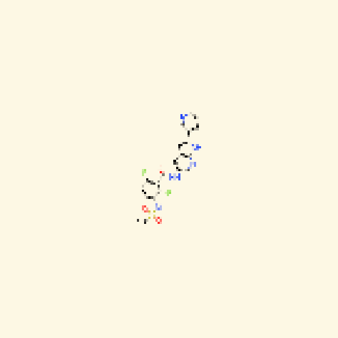 CCCS(=O)(=O)Nc1ccc(F)c(C(=O)Nc2cnc3[nH]c(-c4cccnc4)cc3c2)c1F